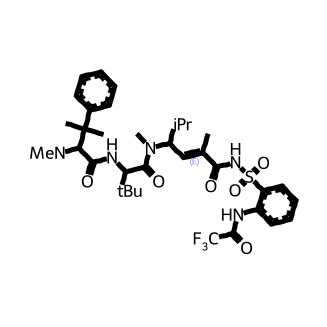 CNC(C(=O)NC(C(=O)N(C)C(/C=C(\C)C(=O)NS(=O)(=O)c1ccccc1NC(=O)C(F)(F)F)C(C)C)C(C)(C)C)C(C)(C)c1ccccc1